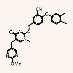 COc1ncc(Cc2cn(C)c(SCc3ccc(Oc4ccc(F)c(C)c4)c(C#N)c3)nc2=O)cn1